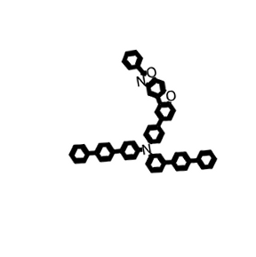 c1ccc(-c2ccc(-c3ccc(N(c4ccc(-c5ccc6oc7cc8oc(-c9ccccc9)nc8cc7c6c5)cc4)c4cccc(-c5ccc(-c6ccccc6)cc5)c4)cc3)cc2)cc1